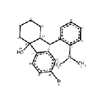 CN(C)c1ccccc1CC1CCCCC1(O)c1ccc(Br)cc1